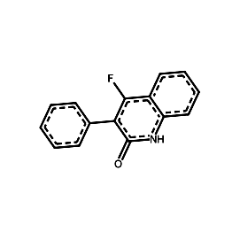 O=c1[nH]c2ccccc2c(F)c1-c1ccccc1